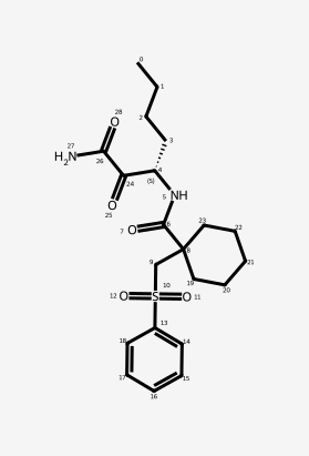 CCCC[C@H](NC(=O)C1(CS(=O)(=O)c2ccccc2)CCCCC1)C(=O)C(N)=O